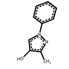 Cc1nn(-c2ccccc2)cc1O